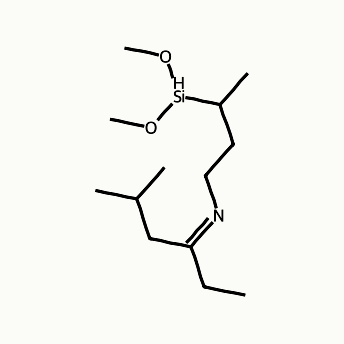 CCC(CC(C)C)=NCCC(C)[SiH](OC)OC